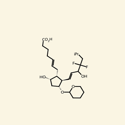 CC(C)CC(F)(F)C(O)C=C[C@@H]1[C@@H](CC=CCCCC(=O)O)[C@@H](O)C[C@H]1OC1CCCCO1